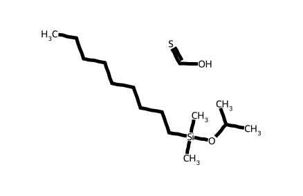 CCCCCCCCC[Si](C)(C)OC(C)C.OC=S